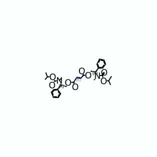 CC(C)OC(=O)N(C)[C@@H](COC(=O)/C=C/C(=O)OC[C@@H](c1ccccc1)N(C)C(=O)OC(C)C)c1ccccc1